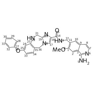 COc1cc2c(N)nccc2cc1CNC(=O)c1cn2c(n1)CNc1cc(Oc3ccccc3)ccc1C2